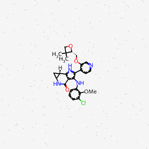 COc1c(Cl)cccc1Nc1c(-c2ccncc2OC[C@H]2OCC2(C)C)[nH]c2c1C(=O)NC1C[C@H]21